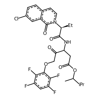 CC[C@@H](C(=O)NC(CC(=O)OC(C)C(C)C)C(=O)COc1c(F)c(F)cc(F)c1F)n1ccc2ccc(Cl)cc2c1=O